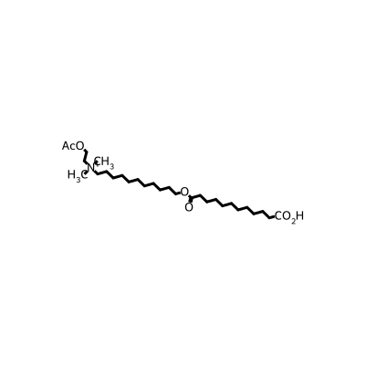 CC(=O)OCC[N+](C)(C)CCCCCCCCCCCOC(=O)CCCCCCCCCCC(=O)O